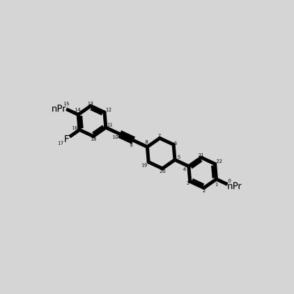 CCCc1ccc(C2CCC(C#Cc3ccc(CCC)c(F)c3)CC2)cc1